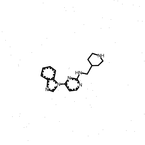 c1ccc2c(c1)ncn2-c1ccnc(NCC2CCNCC2)n1